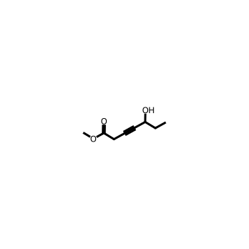 CCC(O)C#CCC(=O)OC